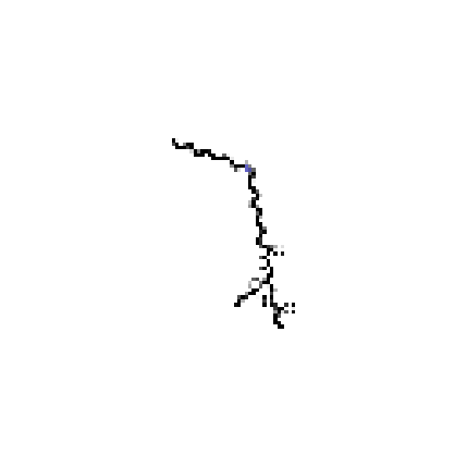 CCCCCCCC/C=C\CCCCCCCC(=O)OCC(COC(=O)CC)OC(=O)CC